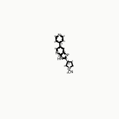 N#CN1CC[C@H](c2nc3cc(-c4ccncc4)cnc3[nH]2)C1